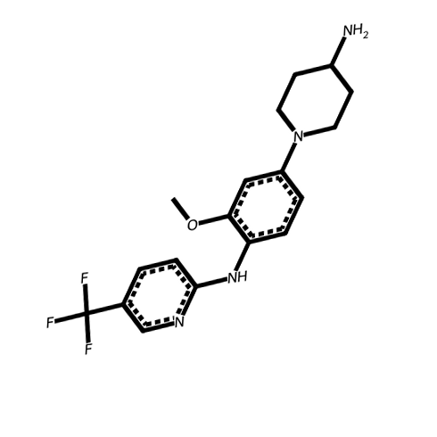 COc1cc(N2CCC(N)CC2)ccc1Nc1ccc(C(F)(F)F)cn1